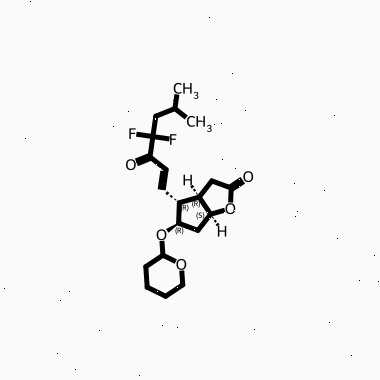 CC(C)CC(F)(F)C(=O)C=C[C@@H]1[C@H]2CC(=O)O[C@H]2C[C@H]1OC1CCCCO1